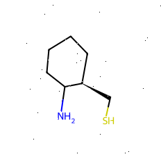 NC1CCCC[C@H]1CS